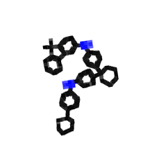 CC1(C)c2ccccc2-c2cc(Nc3ccc(C4(c5ccc(Nc6ccc(C7CCCCC7)cc6)cc5)CCCCC4)cc3)ccc21